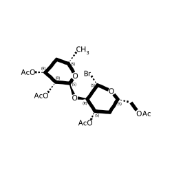 CC(=O)OC[C@@H]1C[C@H](OC(C)=O)[C@@H](O[C@@H]2O[C@@H](C)C[C@@H](OC(C)=O)[C@H]2OC(C)=O)[C@H](Br)O1